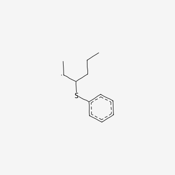 C[CH]C(CCC)Sc1ccccc1